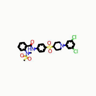 CN(c1ccccc1C(=O)Nc1ccc(S(=O)(=O)C2CCN(c3cc(Cl)cc(Cl)c3)CC2)cc1)S(C)(=O)=O